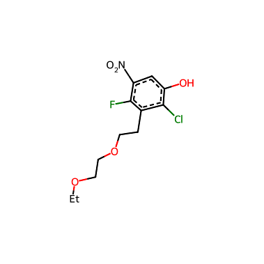 CCOCCOCCc1c(F)c([N+](=O)[O-])cc(O)c1Cl